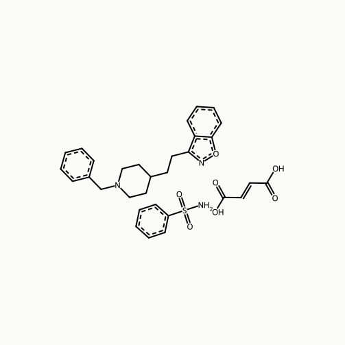 NS(=O)(=O)c1ccccc1.O=C(O)C=CC(=O)O.c1ccc(CN2CCC(CCc3noc4ccccc34)CC2)cc1